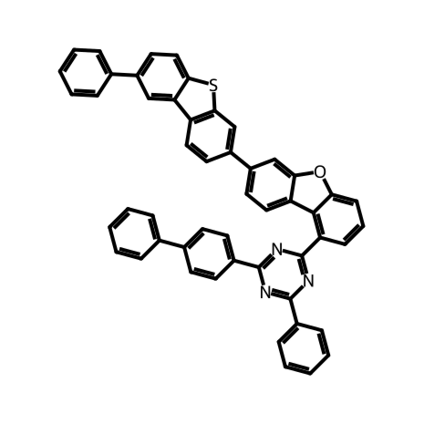 c1ccc(-c2ccc(-c3nc(-c4ccccc4)nc(-c4cccc5oc6cc(-c7ccc8c(c7)sc7ccc(-c9ccccc9)cc78)ccc6c45)n3)cc2)cc1